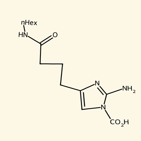 CCCCCCNC(=O)CCCc1cn(C(=O)O)c(N)n1